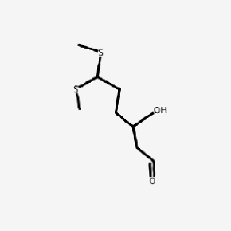 CSC(CCC(O)CC=O)SC